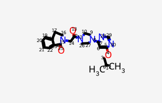 CC(C)COc1cc(N2CCN(C(=O)CN3CCc4ccccc4C3=O)CC2)ncn1